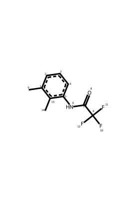 Cc1cccc(NC(=O)C(F)(F)F)c1C